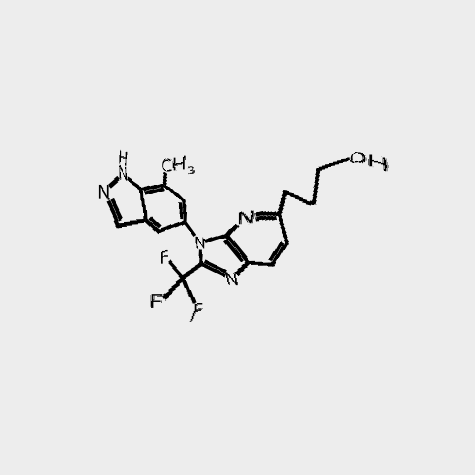 Cc1cc(-n2c(C(F)(F)F)nc3ccc(CCCO)nc32)cc2cn[nH]c12